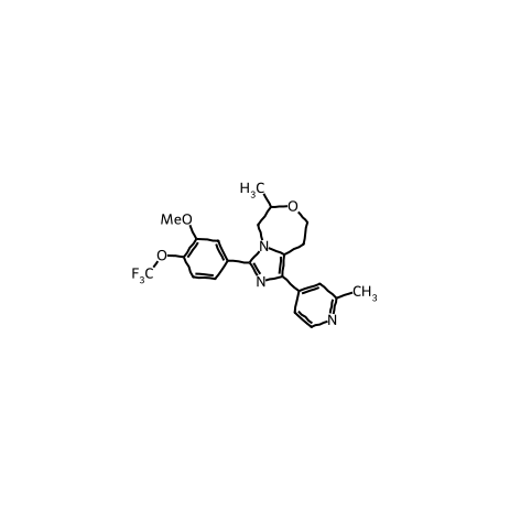 COc1cc(-c2nc(-c3ccnc(C)c3)c3n2CC(C)OCC3)ccc1OC(F)(F)F